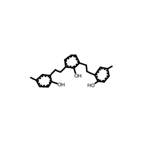 Cc1ccc(O)c(CCc2cccc(CCc3cc(C)ccc3O)c2O)c1